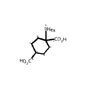 CCCCCCC1(C(=O)O)CCC(C(=O)O)CC1